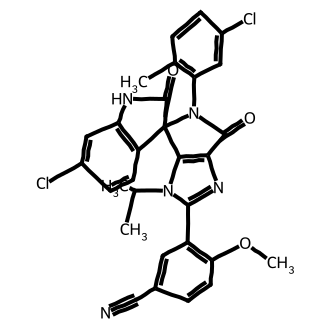 COc1ccc(C#N)cc1-c1nc2c(n1C(C)C)C1(C(=O)Nc3cc(Cl)ccc31)N(c1cc(Cl)ccc1C)C2=O